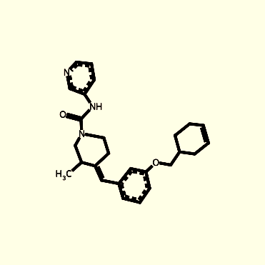 CC1CN(C(=O)Nc2cccnc2)CCC1=Cc1cccc(OCC2CC=CCC2)c1